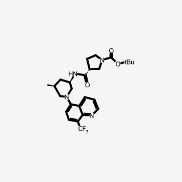 C[C@H]1C[C@@H](NC(=O)[C@@H]2CCN(C(=O)OC(C)(C)C)C2)CN(c2ccc(C(F)(F)F)c3ncccc23)C1